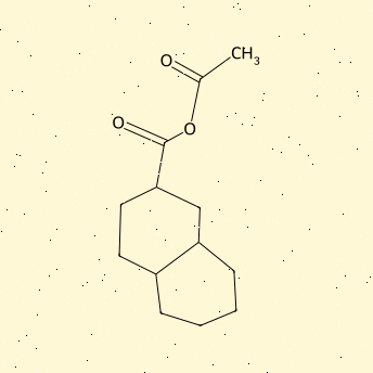 CC(=O)OC(=O)C1CCC2CCCCC2C1